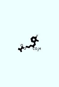 C=C(C)C(=O)OCCCC(=Cc1cccc(F)c1C)C(=O)O